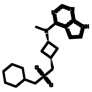 CN(c1ncnc2[nH]ccc12)[C@H]1C[C@@H](CS(=O)(=O)CC2CCCCC2)C1